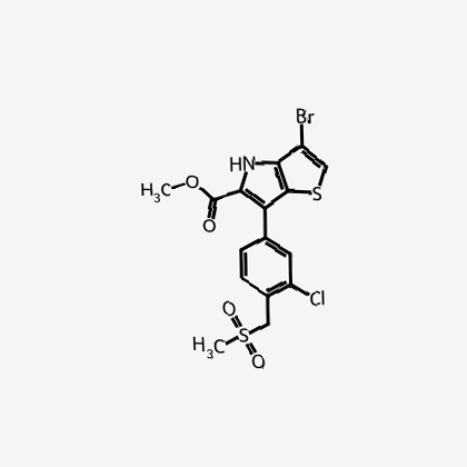 COC(=O)c1[nH]c2c(Br)csc2c1-c1ccc(CS(C)(=O)=O)c(Cl)c1